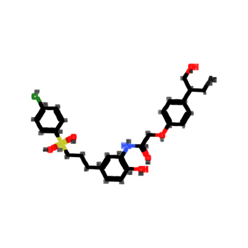 CC(=O)CC(CO)c1ccc(OCC(=O)Nc2cc(CCCS(=O)(=O)c3ccc(Cl)cc3)ccc2O)cc1